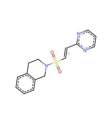 O=S(=O)(/C=C/c1ncccn1)N1CCc2ccccc2C1